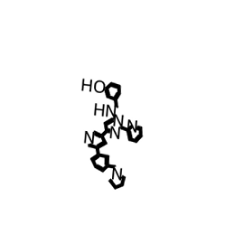 Oc1cccc(CNc2cc(-c3cncc(-c4cccc(CN5CCCC5)c4)c3)nc(-c3ccccn3)n2)c1